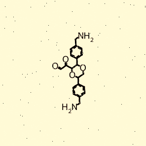 NCc1ccc(C2COC(c3ccc(CN)cc3)C(C(=O)C=O)O2)cc1